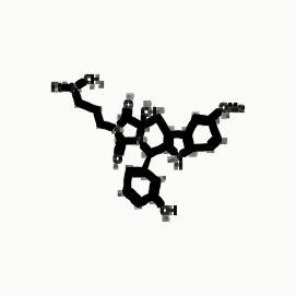 CCN(C)CCCN1C(=O)N2[C@H](c3cccc(O)c3)c3[nH]c4ccc(OC)cc4c3C[C@@]2(C)C1=O